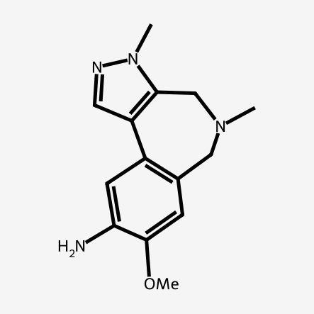 COc1cc2c(cc1N)-c1cnn(C)c1CN(C)C2